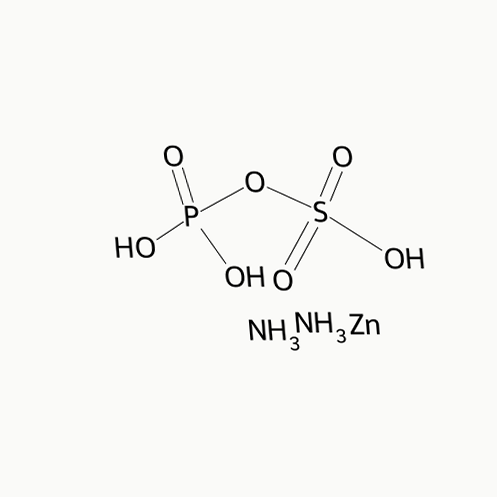 N.N.O=P(O)(O)OS(=O)(=O)O.[Zn]